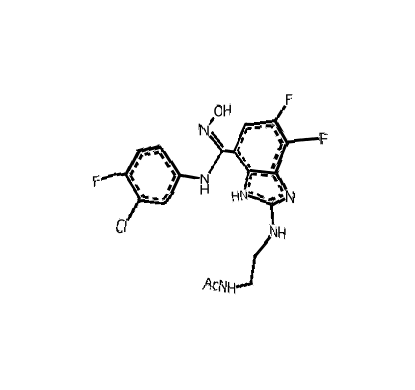 CC(=O)NCCNc1nc2c(F)c(F)cc(/C(=N\O)Nc3ccc(F)c(Cl)c3)c2[nH]1